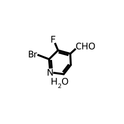 O.O=Cc1ccnc(Br)c1F